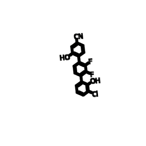 N#Cc1ccc(-c2ccc(-c3cccc(Cl)c3O)c(F)c2F)c(O)c1